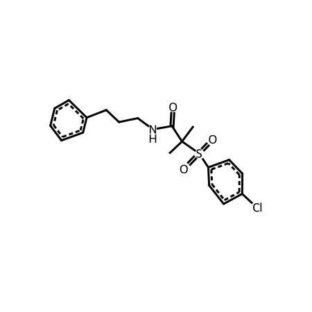 CC(C)(C(=O)NCCCc1ccccc1)S(=O)(=O)c1ccc(Cl)cc1